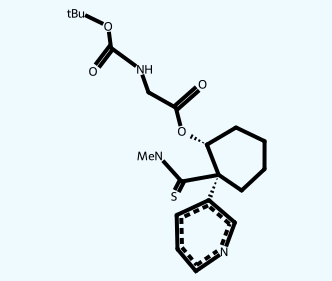 CNC(=S)[C@]1(c2cccnc2)CCCC[C@H]1OC(=O)CNC(=O)OC(C)(C)C